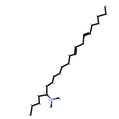 CCCCC/C=C/C/C=C/CCCCCCCC(CCCC)N(C)C